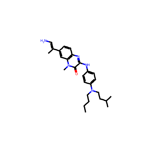 CCCCN(CCC(C)C)c1ccc(Nc2nc3ccc(/C(C)=C/N)cc3n(C)c2=O)cc1